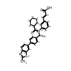 [2H]C(c1ccc(-c2ccc3nc(C)sc3c2)cc1)N(C(=O)C1CCCCC1)c1cccc(/C=C/C(=O)O)c1